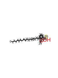 CCCCCCCCCCCCCCCCCCc1cccc(C(O)=S)c1OCC